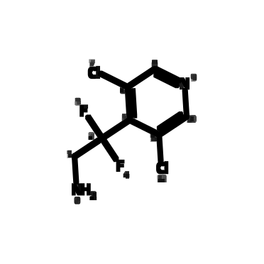 NCC(F)(F)c1c(Cl)cncc1Cl